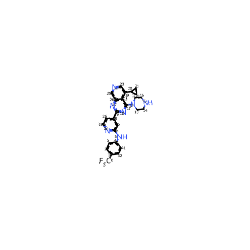 FC(F)(F)c1ccc(Nc2cc(-c3nc(N4CCNCC4)c4c(C5CC5)cncc4n3)ccn2)cc1